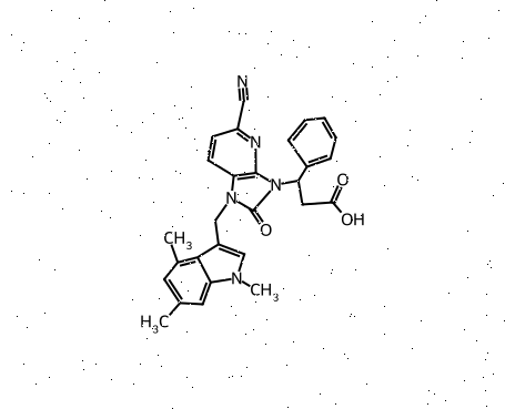 Cc1cc(C)c2c(Cn3c(=O)n(C(CC(=O)O)c4ccccc4)c4nc(C#N)ccc43)cn(C)c2c1